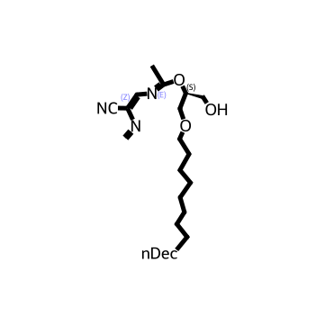 C=N/C(C#N)=C\N=C(/C)O[C@@H](CO)COCCCCCCCCCCCCCCCCCC